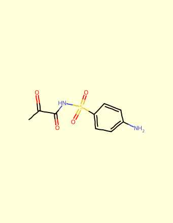 CC(=O)C(=O)NS(=O)(=O)c1ccc(N)cc1